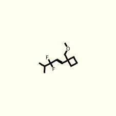 COCC1(/C=C/C(F)(F)C(C)C)CCC1